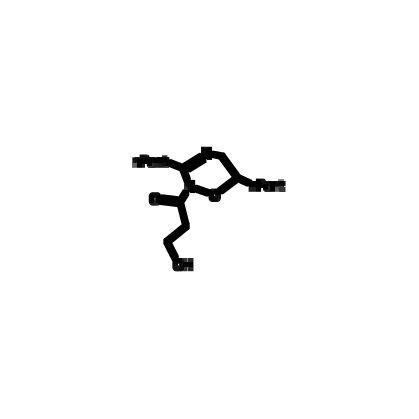 CCCCCC1=NCC(CCCCC)ON1C(=O)CCO